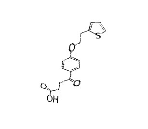 O=C(O)CCC(=O)c1ccc(OCCc2cccs2)cc1